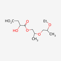 CCOC(C)COC(C)COC(=O)C(O)CC(=O)O